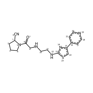 N#CC1CCCN1C(=O)CNCCNc1nc(-c2ccncc2)cs1